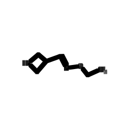 FC(F)(F)CON=CC1CNC1